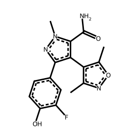 Cc1noc(C)c1-c1c(-c2ccc(O)c(F)c2)nn(C)c1C(N)=O